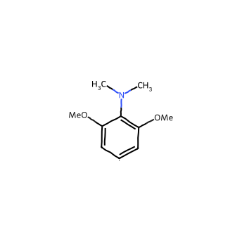 COc1c[c]cc(OC)c1N(C)C